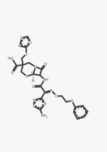 Nc1nc(C(=NOCCOc2ccccc2)C(=O)NC2C(=O)N3CC(CSc4nncs4)(C(=O)O)CS[C@H]23)ns1